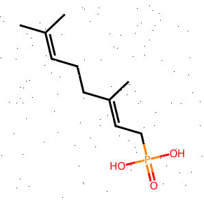 CC(C)=CCC/C(C)=C/CP(=O)(O)O